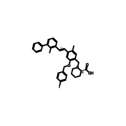 Cc1cc(CN2CCCC[C@H]2C(=O)O)c(OCc2ccc(I)cc2)cc1/C=C/c1cccc(-c2ccccc2)c1C